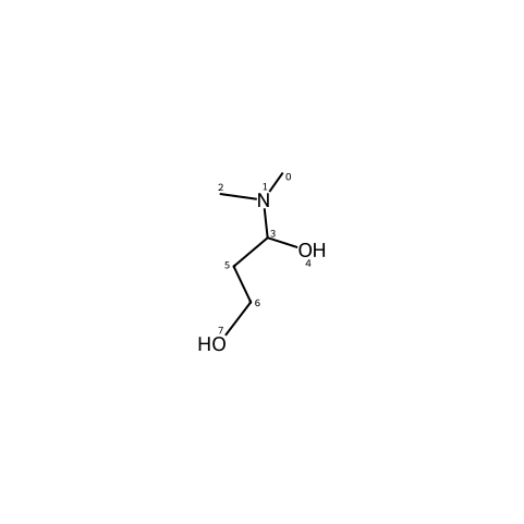 CN(C)C(O)CCO